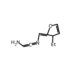 CCC1C=CO/C1=C/N=C=CN